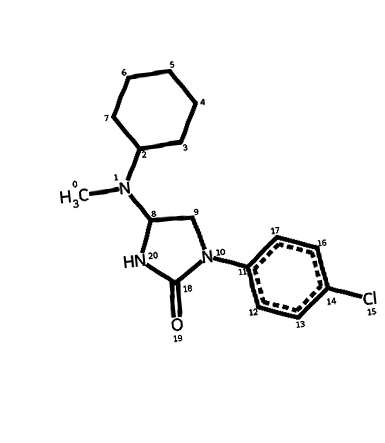 CN(C1CCCCC1)C1CN(c2ccc(Cl)cc2)C(=O)N1